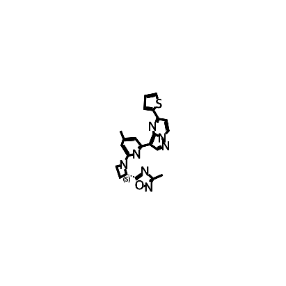 Cc1cc(-c2cnn3ccc(-c4cccs4)nc23)nc(N2CC[C@H]2c2nc(C)no2)c1